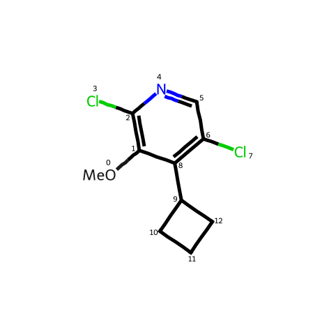 COc1c(Cl)ncc(Cl)c1C1CCC1